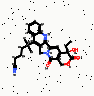 CC[C@@]1(O)C(=O)OCc2c1cc1n(c2=O)Cc2c-1nc1ccccc1c2[Si](C)(C)CCCC#N